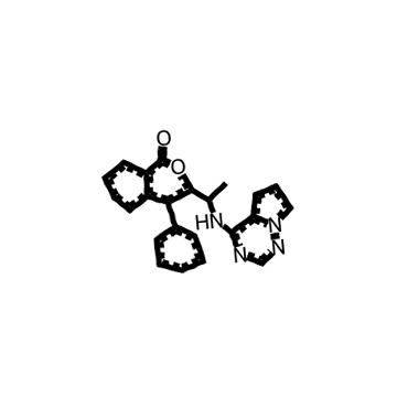 CC(Nc1ncnn2cccc12)c1oc(=O)c2ccccc2c1-c1ccccc1